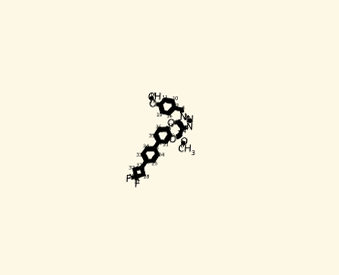 COC(=O)c1nnn(Cc2ccc(OC)cc2)c1Oc1ccc(-c2ccc(C3CC(F)(F)C3)cc2)cc1